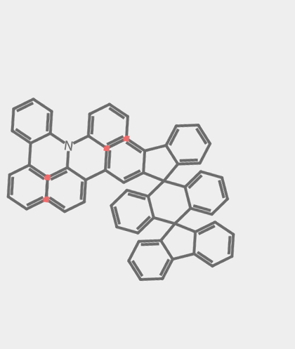 c1ccc(-c2ccccc2N(c2ccccc2)c2ccccc2-c2ccc3c(c2)C2(c4ccccc4-3)c3ccccc3C3(c4ccccc4-c4ccccc43)c3ccccc32)cc1